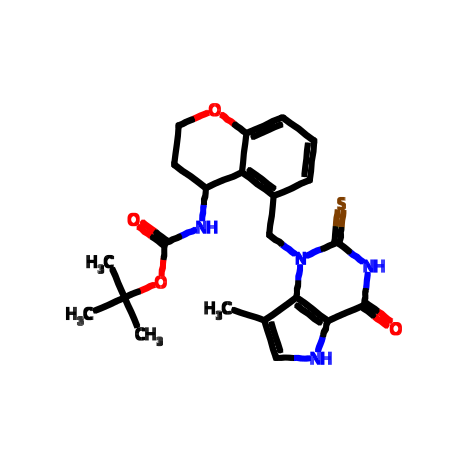 Cc1c[nH]c2c(=O)[nH]c(=S)n(Cc3cccc4c3C(NC(=O)OC(C)(C)C)CCO4)c12